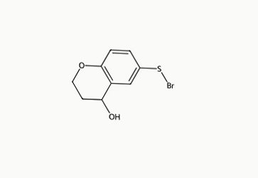 OC1CCOc2ccc(SBr)cc21